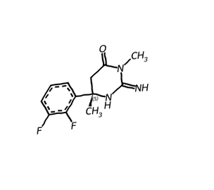 CN1C(=N)N[C@](C)(c2cccc(F)c2F)CC1=O